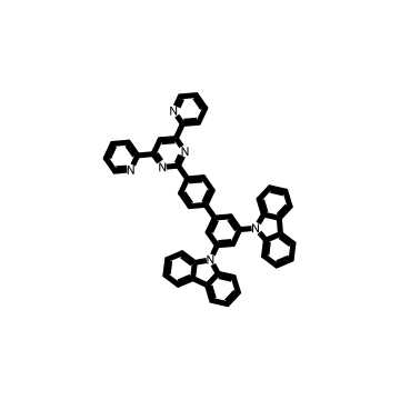 c1ccc(-c2cc(-c3ccccn3)nc(-c3ccc(-c4cc(-n5c6ccccc6c6ccccc65)cc(-n5c6ccccc6c6ccccc65)c4)cc3)n2)nc1